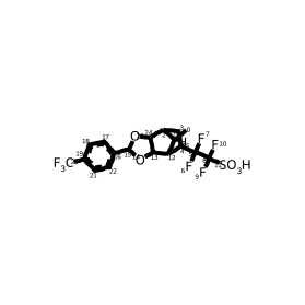 C[C@@H]1C2CC(C(F)(F)C(F)(F)S(=O)(=O)O)C1C1OC(c3ccc(C(F)(F)F)cc3)OC12